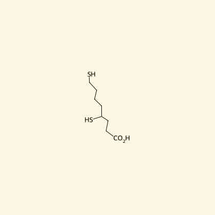 O=C(O)CCC(S)CCCCS